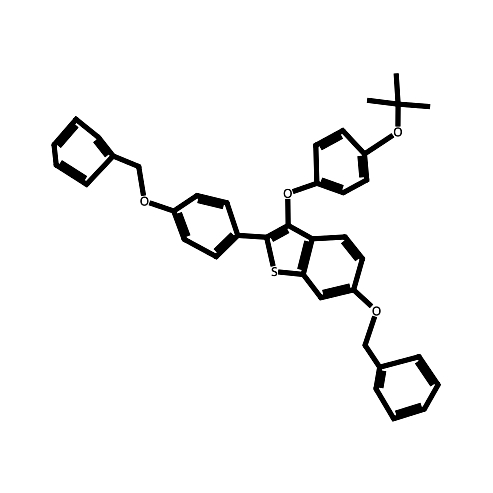 CC(C)(C)Oc1ccc(Oc2c(-c3ccc(OCc4ccccc4)cc3)sc3cc(OCc4ccccc4)ccc23)cc1